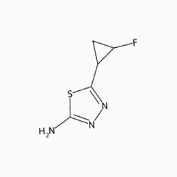 Nc1nnc(C2CC2F)s1